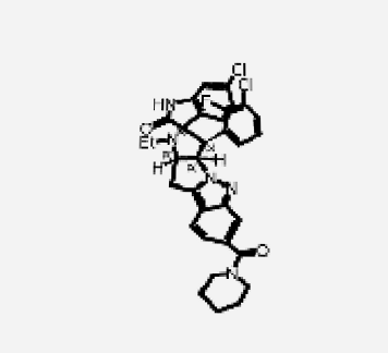 CCN1[C@H]2Cc3c4ccc(C(=O)N5CCCCC5)cc4nn3[C@H]2[C@H](c2cccc(Cl)c2F)[C@]12C(=O)Nc1cc(Cl)ccc12